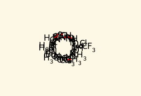 CC[C@H](C)[C@@H]1NC(=O)[C@H](C)N(C)C(=O)C[C@@H](C(=O)N2CCCCC2)N(C)C(=O)[C@H](C2CCCCC2)N(C)C(=O)C2(CCCC2)NC(=O)[C@@H]2CCCN2C(=O)[C@H](CCc2ccc(C(F)(F)F)c(Cl)c2)NC(=O)CN(C)C(=O)[C@H](CC2CCCCC2)N(C)C(=O)CN(C)C(=O)CN(C)C1=O